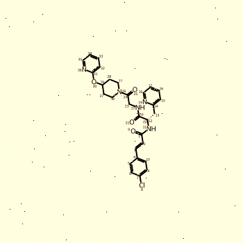 O=C(C=Cc1ccc(Cl)cc1)N[C@@H](Cc1ccccn1)C(=O)NCC(=O)N1CCC(Oc2ccccn2)CC1